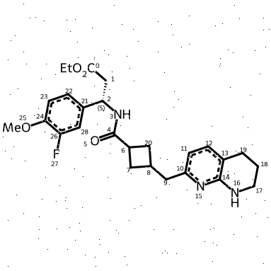 CCOC(=O)C[C@H](NC(=O)C1CC(Cc2ccc3c(n2)NCCC3)C1)c1ccc(OC)c(F)c1